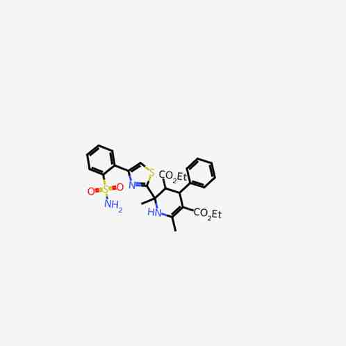 CCOC(=O)C1=C(C)NC(C)(c2nc(-c3ccccc3S(N)(=O)=O)cs2)C(C(=O)OCC)C1c1ccccc1